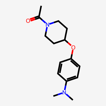 CC(=O)N1CCC(Oc2ccc(N(C)C)cc2)CC1